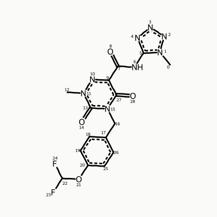 Cn1nnnc1NC(=O)c1nn(C)c(=O)n(Cc2ccc(OC(F)F)cc2)c1=O